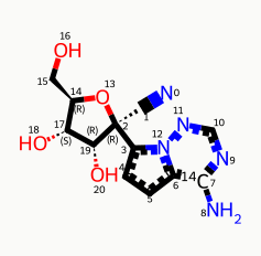 N#C[C@@]1(c2ccc3[14c](N)ncnn23)O[C@H](CO)[C@@H](O)[C@H]1O